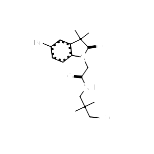 CC(C)(CNC(=O)CN1C(=O)C(C)(C)c2cc(Br)ccc21)CC(=O)O